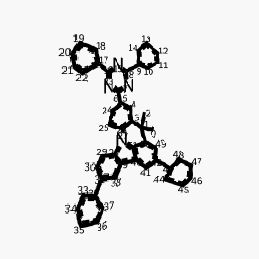 CC1(C)c2cc(-c3nc(-c4ccccc4)nc(-c4ccccc4)n3)ccc2-n2c3ccc(-c4ccccc4)cc3c3cc(-c4ccccc4)cc1c32